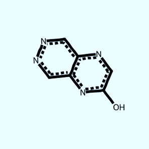 Oc1cnc2cnncc2n1